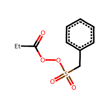 CCC(=O)OOS(=O)(=O)Cc1ccccc1